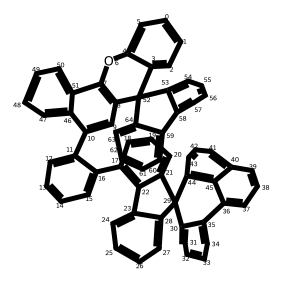 c1ccc2c(c1)Oc1c(cc(-c3ccccc3-c3cccc4c3-c3ccccc3C43c4ccccc4-c4cccc5cccc3c45)c3ccccc13)C21c2ccccc2-c2ccccc21